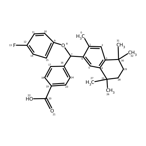 Cc1cc2c(cc1C(Oc1ccc(F)cc1)c1ccc(C(=O)O)cc1)C(C)(C)CCC2(C)C